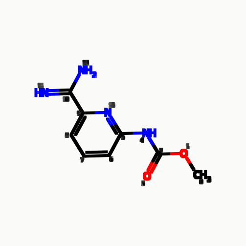 COC(=O)Nc1cccc(C(=N)N)n1